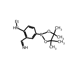 CCNc1ccc(B2OC(C)(C)C(C)(C)O2)cc1C=N